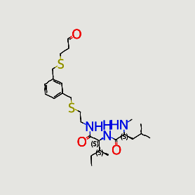 CC[C@H](C)[C@H](NC(=O)[C@H](CC(C)C)NC)C(=O)NCCSCc1cccc(CSCCC=O)c1